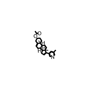 CC(=O)O[C@H]1CC[C@@]2(C)C(=CC[C@@H]3[C@@H]2CC[C@]2(C)C(c4cncc(C)c4)=CC[C@@H]32)C1